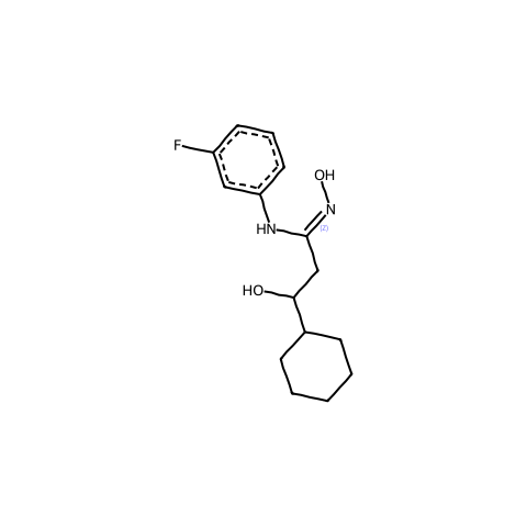 O/N=C(/CC(O)C1CCCCC1)Nc1cccc(F)c1